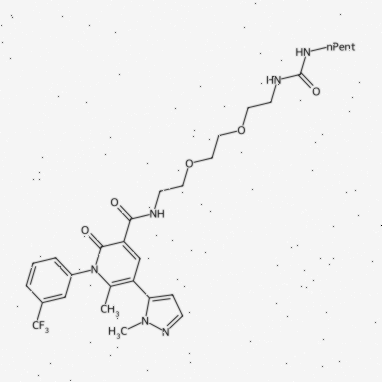 CCCCCNC(=O)NCCOCCOCCNC(=O)c1cc(-c2ccnn2C)c(C)n(-c2cccc(C(F)(F)F)c2)c1=O